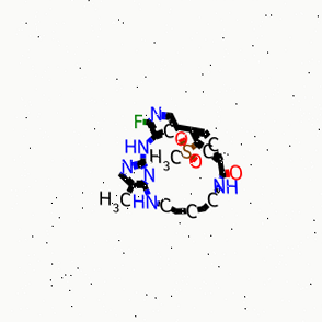 Cc1cnc2nc1NCCCCCNC(=O)c1ccc(c(S(C)(=O)=O)c1)-c1cnc(F)c(c1)N2